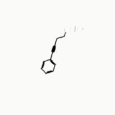 O=CCCC#Cc1ccccc1